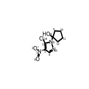 O=[N+]([O-])c1cnn(C2(O)CCCC2)c1Cl